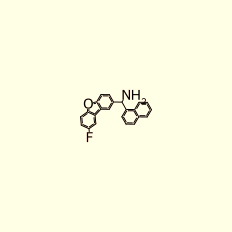 NC(c1ccc2oc3ccc(F)cc3c2c1)c1cccc2ccccc12